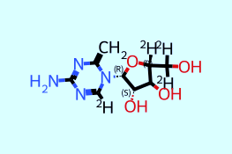 [2H]C1=NC(N)=NC(=C)N1[C@@H]1O[C@]([2H])(C([2H])([2H])O)C(O)[C@@H]1O